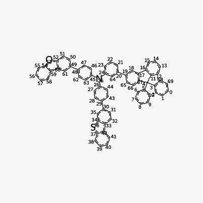 c1ccc(C2(c3ccccc3)c3ccccc3-c3cc(-c4cccc(N(c5ccc(-c6ccc7c(c6)sc6ccccc67)cc5)c5ccc(-c6ccc7oc8ccccc8c7c6)cc5)c4)ccc32)cc1